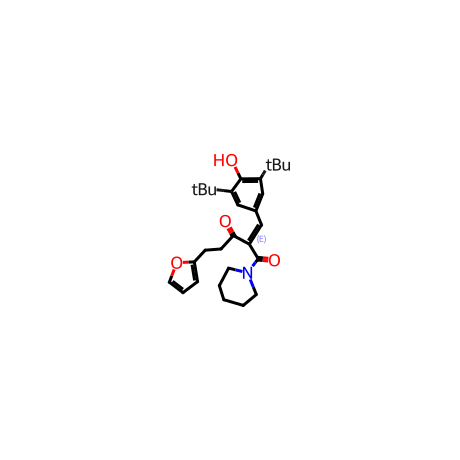 CC(C)(C)c1cc(/C=C(\C(=O)CCc2ccco2)C(=O)N2CCCCC2)cc(C(C)(C)C)c1O